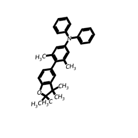 Cc1cc(N(c2ccccc2)c2ccccc2)cc(C)c1-c1ccc2c(c1)C(C)(C)C(C)(C)O2